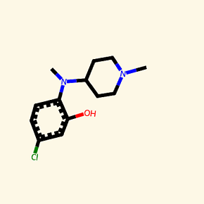 CN1CCC(N(C)c2ccc(Cl)cc2O)CC1